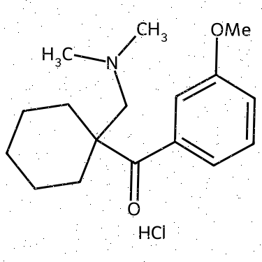 COc1cccc(C(=O)C2(CN(C)C)CCCCC2)c1.Cl